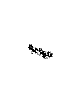 C[C@@H]1CN(C(=O)c2ccccc2)CCN1C(=O)C(=O)C1CNc2c1ccnc2-c1cccnc1